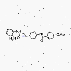 COc1ccc(C(=O)Nc2ccc(/C=C/C(=O)Nc3ccccc3N)cc2)cc1